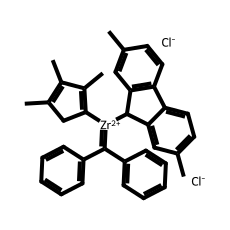 CC1=C(C)C(C)=[C]([Zr+2](=[C](c2ccccc2)c2ccccc2)[CH]2c3cc(C)ccc3-c3ccc(C)cc32)C1.[Cl-].[Cl-]